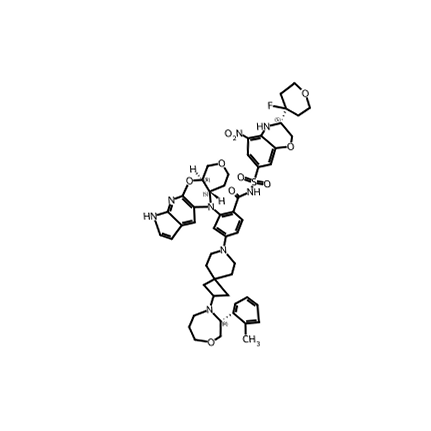 Cc1ccccc1[C@@H]1COCCCN1C1CC2(CCN(c3ccc(C(=O)NS(=O)(=O)c4cc5c(c([N+](=O)[O-])c4)N[C@H](C4(F)CCOCC4)CO5)c(N4c5cc6cc[nH]c6nc5O[C@H]5COCC[C@@H]54)c3)CC2)C1